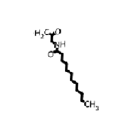 [CH2]C(=O)CNC(=O)CCCCCCCCCCC